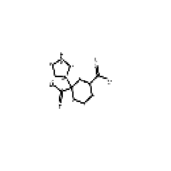 CCC(=O)C1CCCC(C(=O)CC)(N2CCNC2)C1